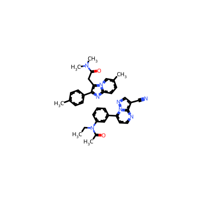 CCN(C(C)=O)c1cccc(-c2ccnc3c(C#N)cnn23)c1.Cc1ccc(-c2nc3ccc(C)cn3c2CC(=O)N(C)C)cc1